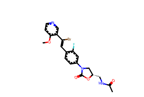 COc1ccncc1C(Br)=Cc1ccc(N2C[C@H](CNC(C)=O)OC2=O)cc1F